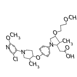 COCCCOC1CN(c2ccc(OC3CCN(c4cc(OC)ncc4Cl)CC3C)cc2)C(CC(=O)O)C1C